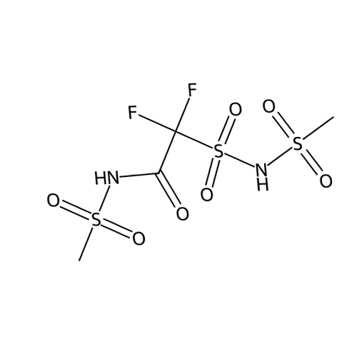 CS(=O)(=O)NC(=O)C(F)(F)S(=O)(=O)NS(C)(=O)=O